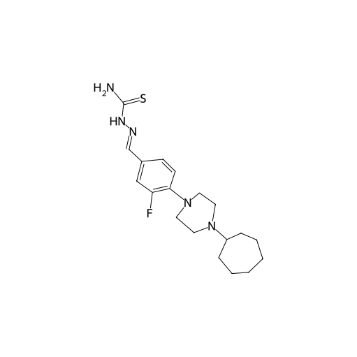 NC(=S)N/N=C/c1ccc(N2CCN(C3CCCCCC3)CC2)c(F)c1